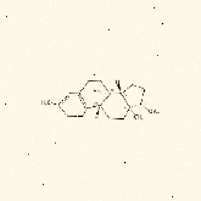 CC(=O)O[C@H]1CC[C@H]2[C@@H]3CCc4cc(C)ccc4[C@H]3CC[C@]12C